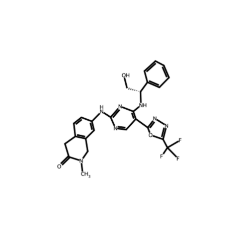 CN1Cc2cc(Nc3ncc(-c4nnc(C(F)(F)F)o4)c(N[C@H](CO)c4ccccc4)n3)ccc2CC1=O